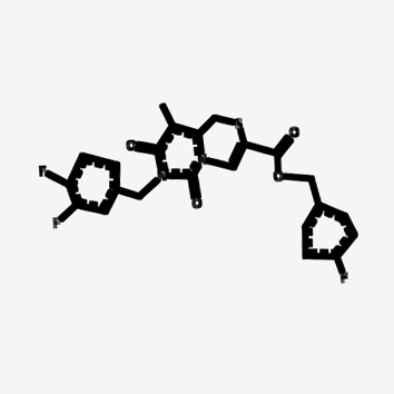 Cc1c2n(c(=O)n(Cc3ccc(F)c(F)c3)c1=O)C=C(C(=O)OCc1ccc(F)cc1)SC2